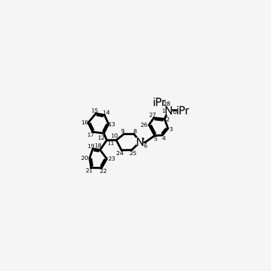 CC(C)N(c1ccc(CN2CCC(C(c3ccccc3)c3ccccc3)CC2)cc1)C(C)C